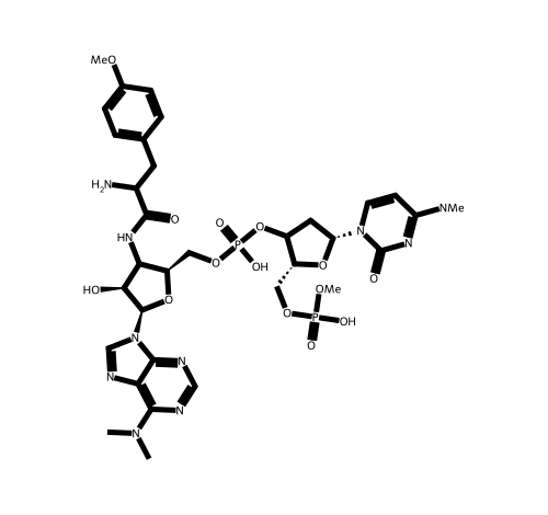 CNc1ccn([C@H]2CC(OP(=O)(O)OC[C@H]3O[C@@H](n4cnc5c(N(C)C)ncnc54)[C@@H](O)C3NC(=O)C(N)Cc3ccc(OC)cc3)[C@@H](COP(=O)(O)OC)O2)c(=O)n1